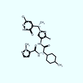 CC1CCC([C@H](NC(=O)c2ccnn2C)C(=O)Nc2cn([C@@H](C)c3cc(Cl)n[nH]c3=O)nc2F)CC1